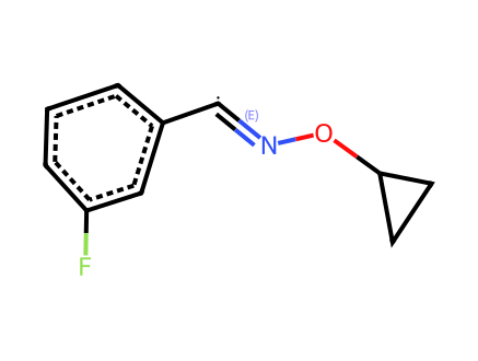 Fc1cccc(/[C]=N/OC2CC2)c1